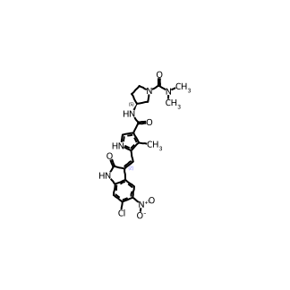 Cc1c(C(=O)N[C@H]2CCN(C(=O)N(C)C)C2)c[nH]c1/C=C1\C(=O)Nc2cc(Cl)c([N+](=O)[O-])cc21